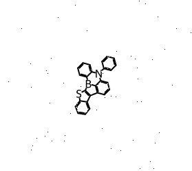 c1ccc(N2c3ccccc3B3c4sc5ccccc5c4-c4cccc2c43)cc1